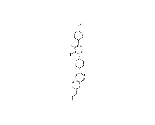 CCCc1ccc(OC(=O)C2CCC(c3ccc(C4CCC(CC)CC4)c(F)c3F)CC2)c(F)c1